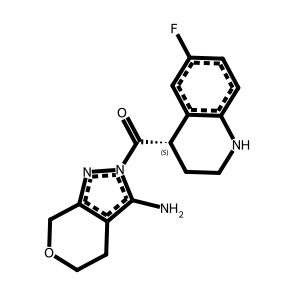 Nc1c2c(nn1C(=O)[C@H]1CCNc3ccc(F)cc31)COCC2